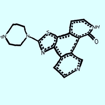 O=c1[nH]ccc2c3sc(N4CCNCC4)nc3c3ccncc3c12